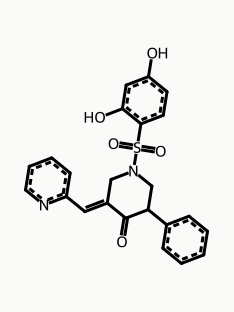 O=C1C(=Cc2ccccn2)CN(S(=O)(=O)c2ccc(O)cc2O)CC1c1ccccc1